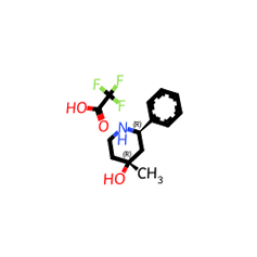 C[C@@]1(O)CCN[C@@H](c2ccccc2)C1.O=C(O)C(F)(F)F